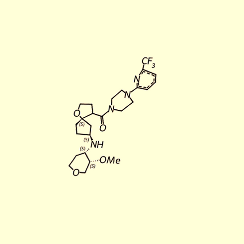 CO[C@@H]1COCC[C@@H]1N[C@H]1CC[C@@]2(C1)OCCC2C(=O)N1CCN(c2cccc(C(F)(F)F)n2)CC1